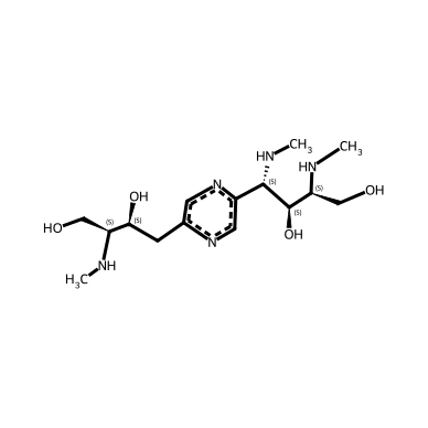 CN[C@@H](CO)[C@@H](O)[C@@H](NC)c1cnc(C[C@H](O)[C@H](CO)NC)cn1